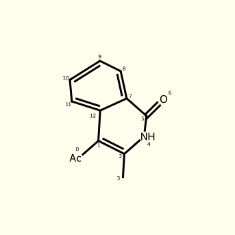 CC(=O)c1c(C)[nH]c(=O)c2ccccc12